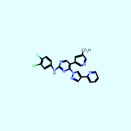 O=C(O)c1cncc(-c2cnc(Nc3ccc(F)c(Cl)c3)nc2-n2cc(-c3ccccn3)cn2)c1